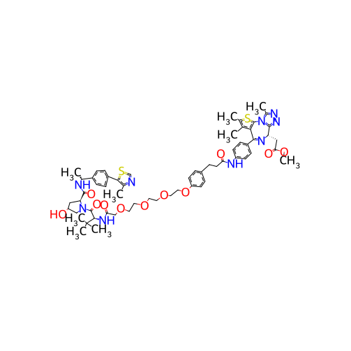 COC(=O)C[C@@H]1N=C(c2ccc(NC(=O)CCc3ccc(OCCOCCOCCOCC(=O)N[C@H](C(=O)N4C[C@H](O)C[C@H]4C(=O)N[C@@H](C)c4ccc(-c5scnc5C)cc4)C(C)(C)C)cc3)cc2)c2c(sc(C)c2C)-n2c(C)nnc21